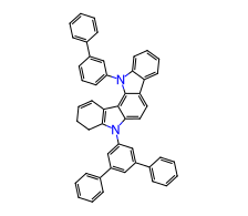 C1=Cc2c(n(-c3cc(-c4ccccc4)cc(-c4ccccc4)c3)c3ccc4c5ccccc5n(-c5cccc(-c6ccccc6)c5)c4c23)CC1